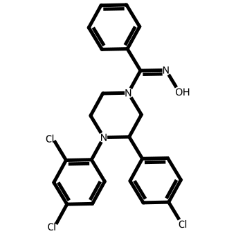 ON=C(c1ccccc1)N1CCN(c2ccc(Cl)cc2Cl)C(c2ccc(Cl)cc2)C1